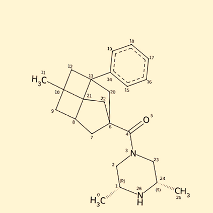 C[C@@H]1CN(C(=O)C23CC4CC5(C)CC(c6ccccc6)(C2)C45C3)C[C@H](C)N1